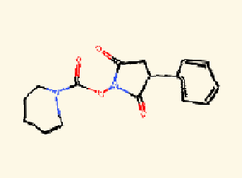 O=C(ON1C(=O)CC(c2ccccc2)C1=O)N1CCCCC1